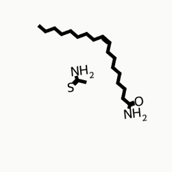 CC(N)=S.CCCCCCCC/C=C\CCCCCCCC(N)=O